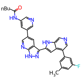 CCCCC(=O)Nc1cncc(-c2cnc3[nH]nc(-c4cc5c(-c6cc(C)cc(F)c6)cncc5[nH]4)c3c2)c1